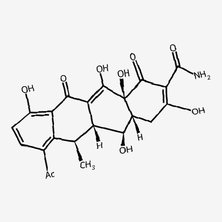 CC(=O)c1ccc(O)c2c1[C@H](C)[C@@H]1C(=C(O)[C@]3(O)C(=O)C(C(N)=O)=C(O)C[C@@H]3[C@H]1O)C2=O